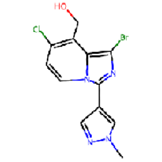 Cn1cc(-c2nc(Br)c3c(CO)c(Cl)ccn23)cn1